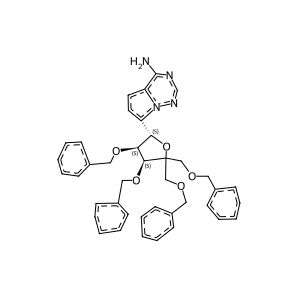 Nc1ncnn2c([C@@H]3OC(COCc4ccccc4)(COCc4ccccc4)[C@@H](OCc4ccccc4)[C@H]3OCc3ccccc3)ccc12